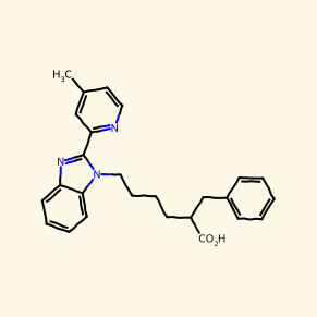 Cc1ccnc(-c2nc3ccccc3n2CCCCC(Cc2ccccc2)C(=O)O)c1